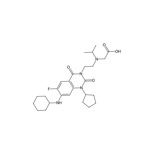 CC(C)N(CCn1c(=O)c2cc(F)c(NC3CCCCC3)cc2n(C2CCCC2)c1=O)CC(=O)O